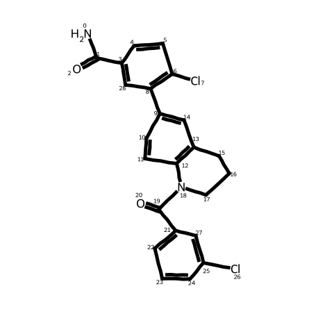 NC(=O)c1ccc(Cl)c(-c2ccc3c(c2)CCCN3C(=O)c2cccc(Cl)c2)c1